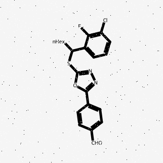 CCCCCCC(Sc1nnc(-c2ccc(C=O)cc2)o1)c1cccc(Cl)c1F